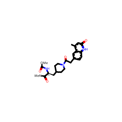 CNC(=O)[C@H](CC1CCN(C(=O)Cc2ccc3[nH]c(=O)cc(C)c3c2)CC1)NC(=O)OC